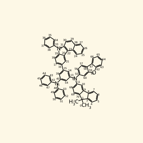 CC1(C)c2ccccc2-c2cc(N(c3cc(-c4ccc5c(c4)c4c6ccccc6ccc4n5-c4ccccc4)cc(N(c4ccccc4)c4ccccc4)c3)c3ccc4c(c3)oc3ccccc34)ccc21